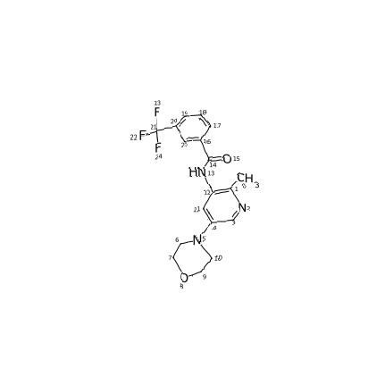 Cc1ncc(N2CCOCC2)cc1NC(=O)c1cccc(C(F)(F)F)c1